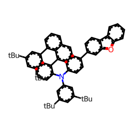 CC(C)(C)c1cc(-c2cccc3cccc(-c4ccccc4N(c4ccc(-c5ccc6c(c5)oc5ccccc56)cc4)c4cc(C(C)(C)C)cc(C(C)(C)C)c4)c23)cc(C(C)(C)C)c1